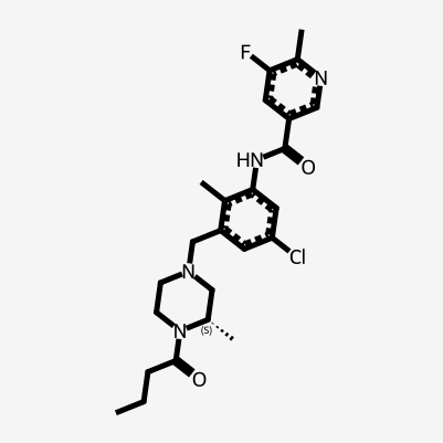 CCCC(=O)N1CCN(Cc2cc(Cl)cc(NC(=O)c3cnc(C)c(F)c3)c2C)C[C@@H]1C